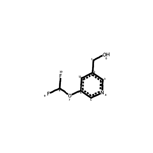 OCc1cncc(OC(F)F)c1